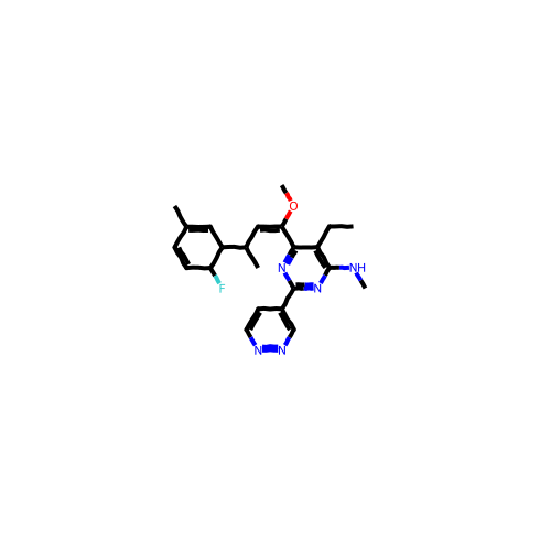 CCc1c(NC)nc(-c2ccnnc2)nc1/C(=C\C(C)C1C=C(C)C=CC1F)OC